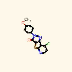 COc1ccc(-n2cnc3c(sc4nccc(Cl)c43)c2=O)cc1